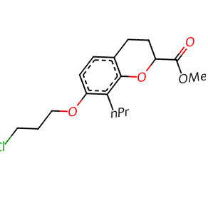 CCCc1c(OCCCCl)ccc2c1OC(C(=O)OC)CC2